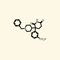 O=C1CCC(c2cccc(C(=O)O)c2)(C2CCN(Cc3ccccc3)CC2)C(=O)N1